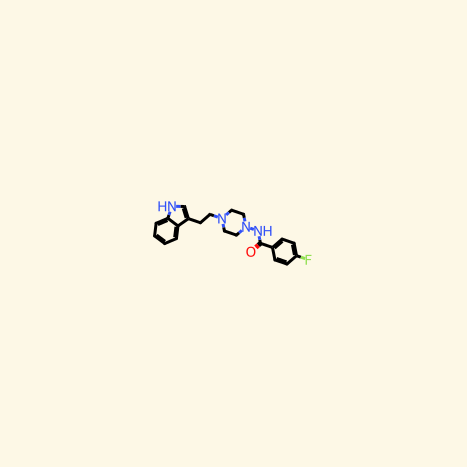 O=C(NN1CCN(CCc2c[nH]c3ccccc23)CC1)c1ccc(F)cc1